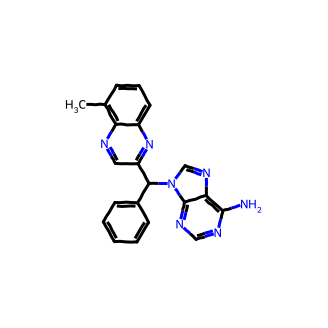 Cc1cccc2nc(C(c3ccccc3)n3cnc4c(N)ncnc43)cnc12